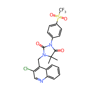 CC1(C)C(=O)N(c2ccc(S(=O)(=O)C(F)(F)F)cc2)C(=O)N1Cc1c(Cl)cnc2ccccc12